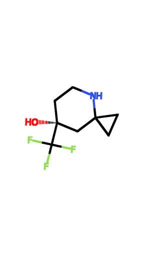 O[C@]1(C(F)(F)F)CCNC2(CC2)C1